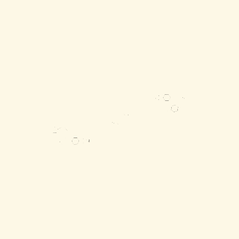 C=C1C[C@H](N(C)C)[C@@H](Oc2ccc(S(=O)(=O)NCCOCCOCCNC(=O)[C@H](O)[C@@H](O)C(=O)NCCOCCOCCNS(=O)(=O)c3ccc(O[C@H]4c5cc(Cl)cc(Cl)c5C[C@@H]4N(C)C)cc3)cc2)C/C=C(Cl)\C=C/1Cl